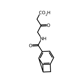 O=C(O)CC(=O)CNC(=O)c1ccc2c3c1C3C2